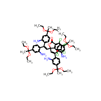 CCOC(C)(OCC)c1ccc(C(=CC2(C=C(c3ccc(C(C)(OCC)OCC)cc3N)c3ccc(C(C)(OCC)OCC)cc3N)OC(=O)c3c(Cl)c(Cl)c(Cl)c(Cl)c32)c2ccc(C(C)(OCC)OCC)cc2N)c(N)c1